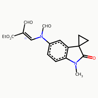 CCOC(=O)/C(C=O)=C/N(C=O)c1ccc2c(c1)C1(CC1)C(=O)N2C